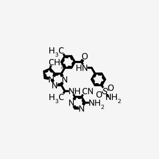 Cc1cc(C(=O)NCc2ccc(S(N)(=O)=O)cc2)cc(-c2nc(C(C)Nc3ncnc(N)c3C#N)nn3ccc(C)c23)c1